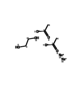 CC(=O)[O-].CC(=O)[O-].OCCO.[Na+].[Na+]